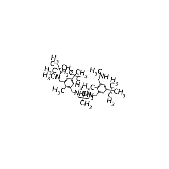 CCC(C)(C)CN(C)Cc1cc(C(C)(C)C)cc(CNCC(C)(C)CNCc2cc(C(C)(C)C)cc(CNC)c2C)c1C